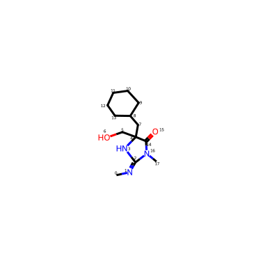 CN=C1NC(CO)(CC2CCCCC2)C(=O)N1C